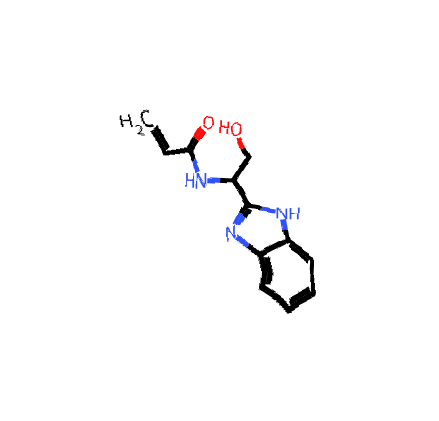 C=CC(=O)NC(CO)c1nc2ccccc2[nH]1